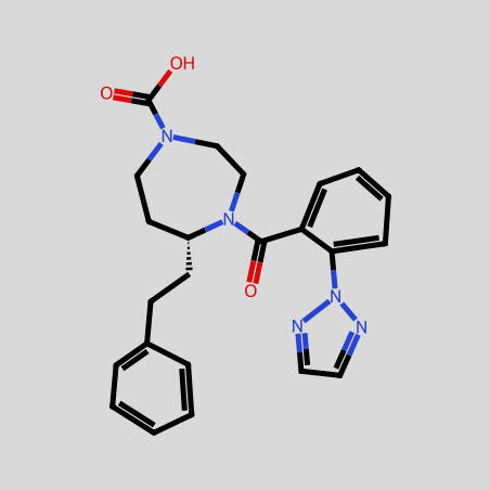 O=C(O)N1CC[C@@H](CCc2ccccc2)N(C(=O)c2ccccc2-n2nccn2)CC1